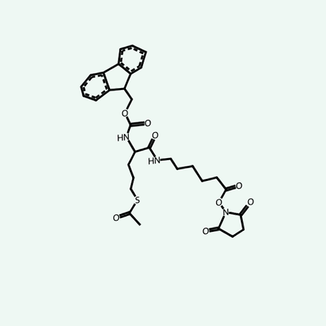 CC(=O)SCCCC(NC(=O)OCC1c2ccccc2-c2ccccc21)C(=O)NCCCCCC(=O)ON1C(=O)CCC1=O